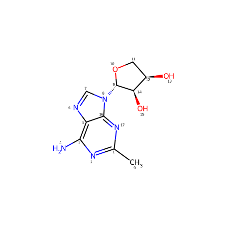 Cc1nc(N)c2ncn([C@@H]3OC[C@@H](O)[C@H]3O)c2n1